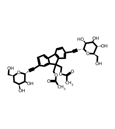 CC(=O)OCC1(COC(C)=O)c2cc(C#C[C@H]3O[C@H](CO)[C@@H](O)[C@H](O)[C@@H]3O)ccc2-c2ccc(C#C[C@H]3O[C@H](CO)C[C@H](O)[C@@H]3O)cc21